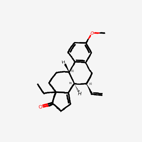 C=C[C@@H]1Cc2cc(OC)ccc2[C@H]2CCC3(CC)C(=O)CC=C3[C@H]12